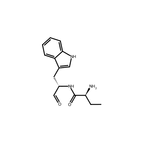 CC[C@H](N)C(=O)N[C@H](C=O)Cc1c[nH]c2ccccc12